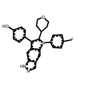 Oc1ccc(-c2c(C3CCOCC3)n(-c3ccc(F)cc3)c3cc4cn[nH]c4cc23)cc1